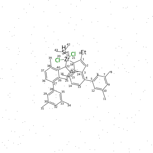 CCC1=Cc2c(-c3cc(C)cc(C)c3)ccc(C)c2[CH]1[Zr]([Cl])([Cl])([CH]1C(C)=Cc2c(-c3cc(C)cc(C)c3)ccc(C)c21)[SiH](C)C